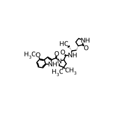 C#C[C@H](C[C@@H]1CCNC1=O)NC(=O)C1CC(C)(C)CN1C(=O)c1cc2c(OC)cccc2[nH]1